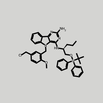 CCC[C@@H](CO[Si](c1ccccc1)(c1ccccc1)C(C)(C)C)Nc1nc(N)nc2c3ccccc3n(Cc3cc(CCl)ccc3OC)c12